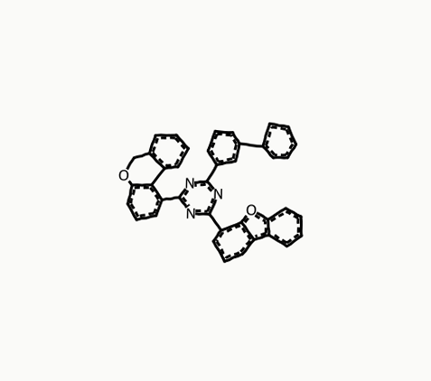 c1ccc(-c2cccc(-c3nc(-c4cccc5c4-c4ccccc4CO5)nc(-c4cccc5c4oc4ccccc45)n3)c2)cc1